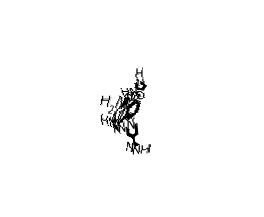 NS(=O)(=O)c1c(S(=O)(=O)NC2CCNC2)ccc(N2CCC(c3c[nH]cn3)CC2)c1-c1nn[nH]n1